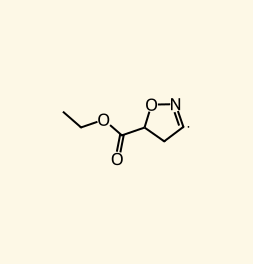 CCOC(=O)C1C[C]=NO1